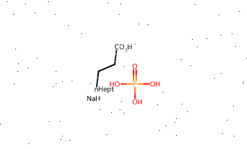 CCCCCCCCCC(=O)O.O=P(O)(O)O.[NaH]